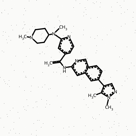 C=C(Nc1cc2cc(-c3cnn(C)c3C)ccc2cn1)c1ccnc(N(C)C2CCN(C)CC2)c1